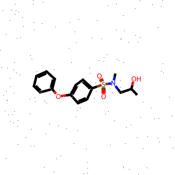 CC(O)CN(C)S(=O)(=O)c1ccc(Oc2ccccc2)cc1